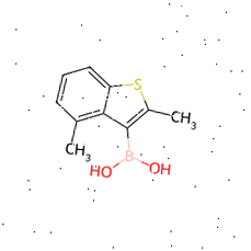 Cc1sc2cccc(C)c2c1B(O)O